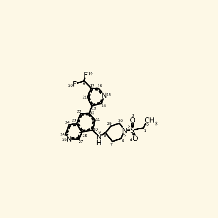 CCS(=O)(=O)N1CCC(Nc2cc(-c3cncc(C(F)F)c3)cc3ccncc23)CC1